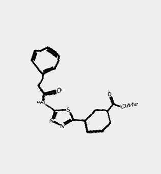 COC(=O)C1CCCC(c2nnc(NC(=O)Cc3ccccc3)s2)C1